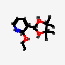 CCOc1ncccc1B1OC(C)(C)C(C)(C)O1